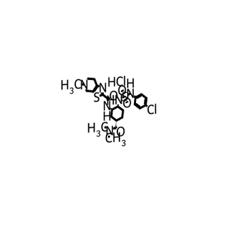 CN1CCc2nc(C(=O)N[C@@H]3C[C@@H](C(=O)N(C)C)CC[C@@H]3NS(=O)(=O)Nc3ccc(Cl)cc3)sc2C1.Cl